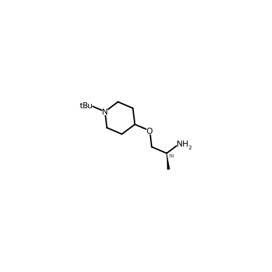 C[C@H](N)COC1CCN(C(C)(C)C)CC1